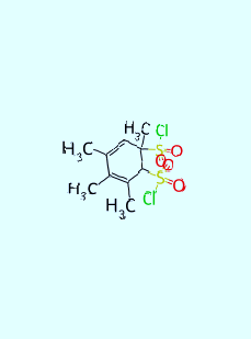 CC1=CC(C)(S(=O)(=O)Cl)C(S(=O)(=O)Cl)C(C)=C1C